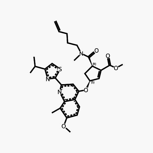 C=CCCCN(C)C(=O)[C@@H]1C[C@H](Oc2cc(-c3nc(C(C)C)cs3)nc3c(C)c(OC)ccc23)C=C1C(=O)OC